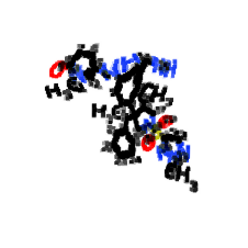 Cc1cc(Nc2ccc(=O)n(C)c2)c(C=N)cc1C1(Cc2ccccc2)CN(S(=O)(=O)c2cnn(C)n2)CC1C